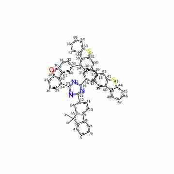 CC1(C)c2ccccc2-c2ccc(-c3nc(-c4ccccc4)nc(-c4cccc5oc6ccc(-c7cc(-c8ccc9c(c8)sc8ccccc89)cc8sc9ccccc9c78)cc6c45)n3)cc21